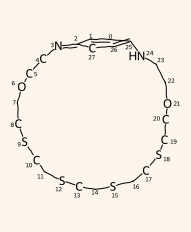 C1=C/C2=N/CCOCCSCCSCCSCCSCCOCCNC1=CC2